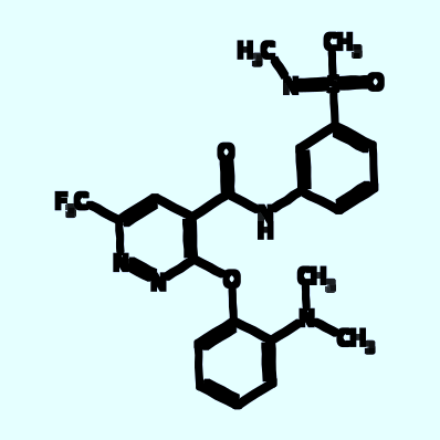 CN=S(C)(=O)c1cccc(NC(=O)c2cc(C(F)(F)F)nnc2Oc2ccccc2N(C)C)c1